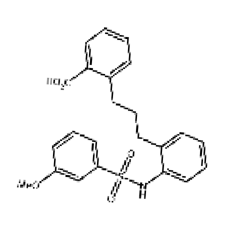 COc1cccc(S(=O)(=O)Nc2ccccc2CCCc2ccccc2C(=O)O)c1